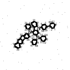 c1ccc(-c2ccc(-n3c4ccccc4c4c(N(c5ccccc5)c5ccc6c(c5)Cc5cc7ccccc7cc5-6)cc(N(c5ccccc5)c5ccccc5)cc43)cc2)cc1